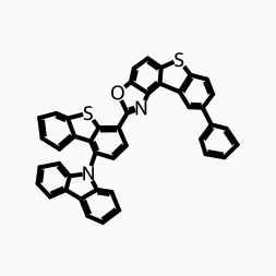 c1ccc(-c2ccc3sc4ccc5oc(-c6ccc(-n7c8ccccc8c8ccccc87)c7c6sc6ccccc67)nc5c4c3c2)cc1